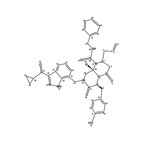 C=CCN1CC(=O)N2[C@@H](Cc3ccc(O)cc3)C(=O)N(Cc3cccc4c(C(=O)C5CC5)n[nH]c34)C[C@@H]2N1C(=O)NCc1ccccc1